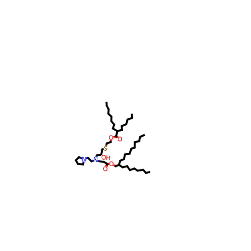 CCCCCCCCCCC(CCCCCCCC)COC(=O)CCN(CCN1CCCC1)CC(O)CSCCOC(=O)C(CCCCCC)CCCCCCCC